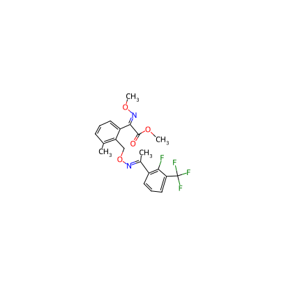 CO/N=C(/C(=O)OC)c1cccc(C)c1CO/N=C(\C)c1cccc(C(F)(F)F)c1F